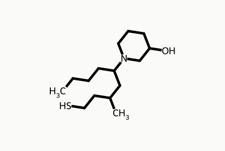 CCCCC(CC(C)CCS)N1CCCC(O)C1